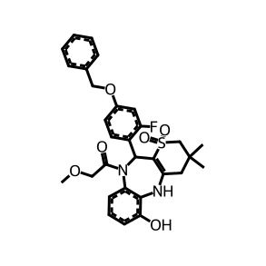 COCC(=O)N1c2cccc(O)c2NC2=C(C1c1ccc(OCc3ccccc3)cc1F)S(=O)(=O)CC(C)(C)C2